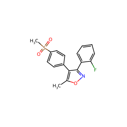 Cc1onc(-c2ccccc2F)c1-c1ccc(S(C)(=O)=O)cc1